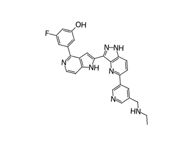 CCNCc1cncc(-c2ccc3[nH]nc(-c4cc5c(-c6cc(O)cc(F)c6)nccc5[nH]4)c3n2)c1